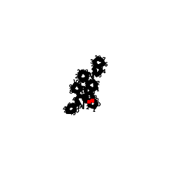 c1ccc(-c2cc(-c3ccccc3-n3c4ccccc4c4ccc5c(c6ccccc6n5-c5ccc6ccccc6c5)c43)cc(-c3ccccc3)n2)cc1